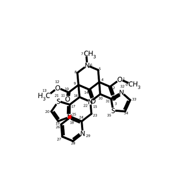 COC(=O)C12CN(C)CC(C(=O)OC)(C1=O)C(c1nccs1)N(Cc1ccccn1)C2c1nccs1